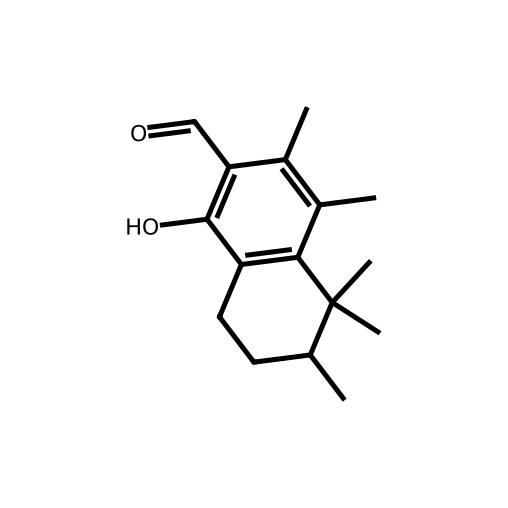 Cc1c(C)c2c(c(O)c1C=O)CCC(C)C2(C)C